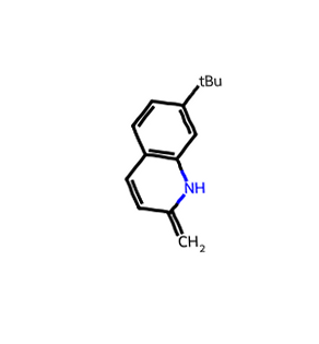 C=C1C=Cc2ccc(C(C)(C)C)cc2N1